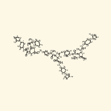 Cc1ncsc1-c1ccc(CNC(=O)[C@@H]2C[C@@H](OCc3coc([C@H](C(=O)N4C[C@H](Oc5cnc([C@H](C(=O)N6C[C@H](O)C[C@H]6C(=O)NCc6ccc(-c7scnc7C)cc6)C(C)C)cn5)C[C@H]4C(=O)NCc4ccc(-c5scnc5C)cc4)C(C)C)n3)CN2C(=O)[C@@H](c2ccccc2)C(C)C)cc1